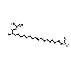 CCC(CCCCCCCC=CCCCCCCCCN(O)O)CCC(O)O